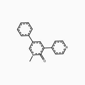 Cn1cc(-c2ccccc2)cc(-c2ccncc2)c1=O